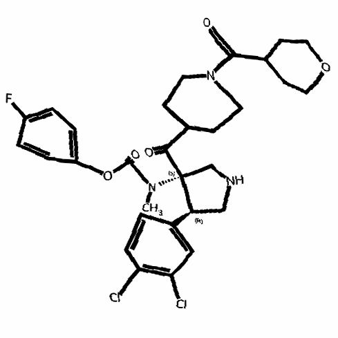 CN(C(=O)Oc1ccc(F)cc1)[C@]1(C(=O)C2CCN(C(=O)C3CCOCC3)CC2)CNC[C@H]1c1ccc(Cl)c(Cl)c1